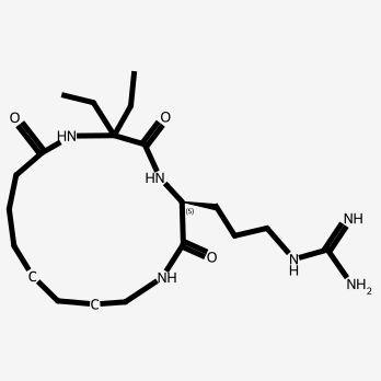 CCC1(CC)NC(=O)CCCCCCCNC(=O)[C@H](CCCNC(=N)N)NC1=O